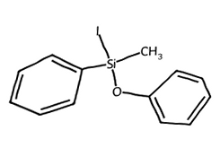 C[Si](I)(Oc1ccccc1)c1ccccc1